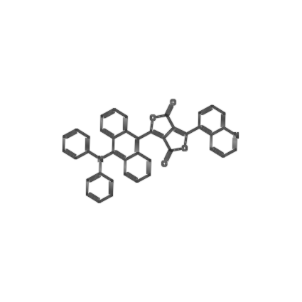 O=C1OC(c2c3ccccc3c(N(c3ccccc3)c3ccccc3)c3ccccc23)=C2C(=O)OC(c3cccc4ncccc34)=C12